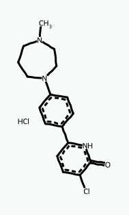 CN1CCCN(c2ccc(-c3ccc(Cl)c(=O)[nH]3)cc2)CC1.Cl